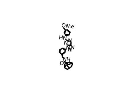 COCc1cccc(Nc2ncc3nnn(-c4cccc(CNC(=O)C56CC7CC(CC(C7)C5)C6)c4)c3n2)c1